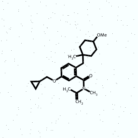 C=C(C)N(C)C(=O)c1cc(OCC2CC2)ccc1CC1(C)CCC(OC)CC1